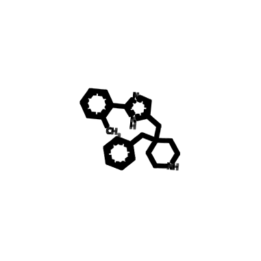 Cc1ccccc1-c1ncc(CC2(Cc3ccccc3)CCNCC2)[nH]1